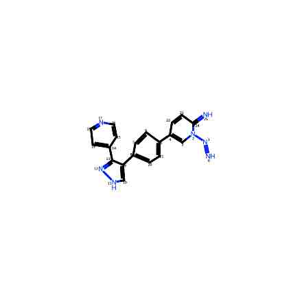 N=Nn1cc(-c2ccc(-c3c[nH]nc3-c3ccncc3)cc2)ccc1=N